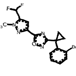 Cn1nc(-c2nc(C3(c4ccccc4Br)CC3)no2)cc1C(F)F